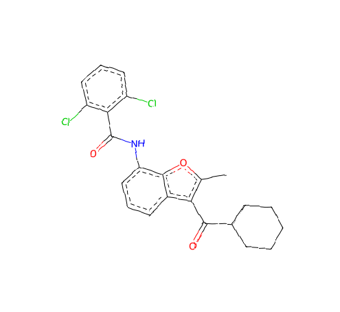 Cc1oc2c(NC(=O)c3c(Cl)cccc3Cl)cccc2c1C(=O)C1CCCCC1